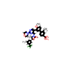 COc1ccc(-c2ccc(C(=O)O)cc2C)cc1-c1cnc(N2CCOCC2)nc1CN1C(=O)O[C@H](c2cc(C)cc(C(F)(F)F)c2)[C@@H]1C